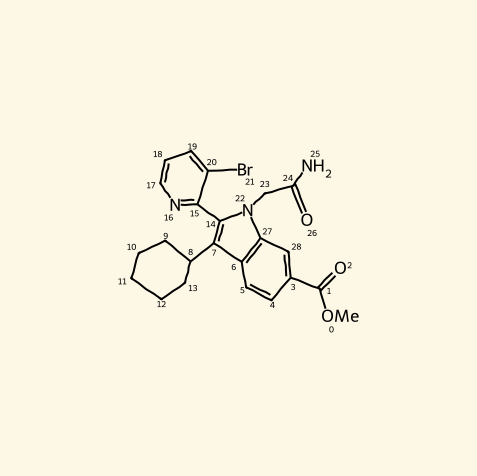 COC(=O)c1ccc2c(C3CCCCC3)c(-c3ncccc3Br)n(CC(N)=O)c2c1